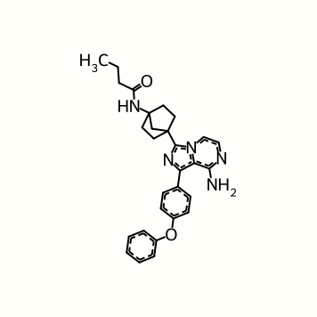 CCCC(=O)NC12CCC(c3nc(-c4ccc(Oc5ccccc5)cc4)c4c(N)nccn34)(CC1)C2